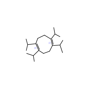 CC(C)/C1=C(\C(C)C)CC/C(C(C)C)=C(/C(C)C)CC1